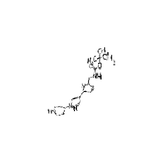 CC(C)(C)OC(=O)NCc1nc(-c2cnn(C3CCNCC3)c2)cs1